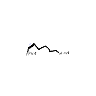 [CH2]CCCC/C=C\CCCCCCCCCCC